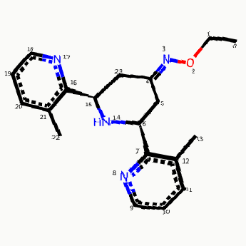 CCON=C1C[C@@H](c2ncccc2C)N[C@@H](c2ncccc2C)C1